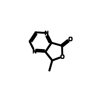 CC1OC(=O)c2nccnc21